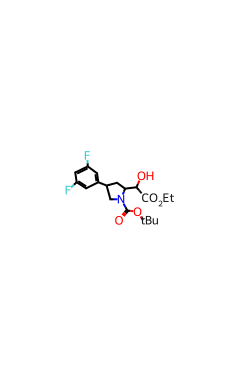 CCOC(=O)C(O)C1CC(c2cc(F)cc(F)c2)CN1C(=O)OC(C)(C)C